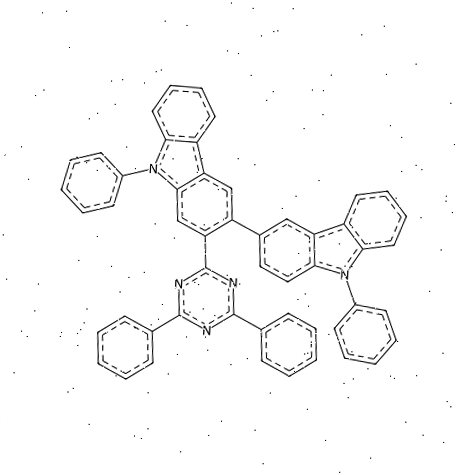 c1ccc(-c2nc(-c3ccccc3)nc(-c3cc4c(cc3-c3ccc5c(c3)c3ccccc3n5-c3ccccc3)c3ccccc3n4-c3ccccc3)n2)cc1